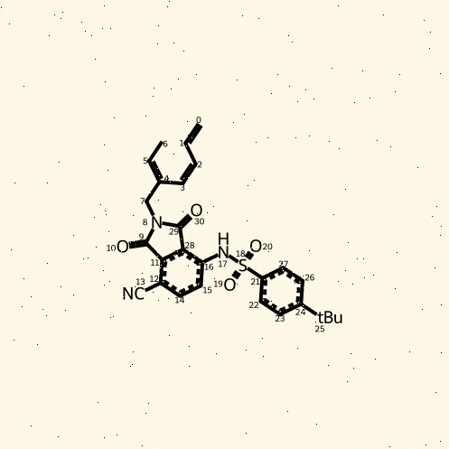 C=C/C=C\C(=C/C)CN1C(=O)c2c(C#N)ccc(NS(=O)(=O)c3ccc(C(C)(C)C)cc3)c2C1=O